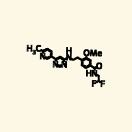 COc1cc(C(=O)NCC(F)F)ccc1CCNc1cc(-c2ccc(C)nc2)ncn1